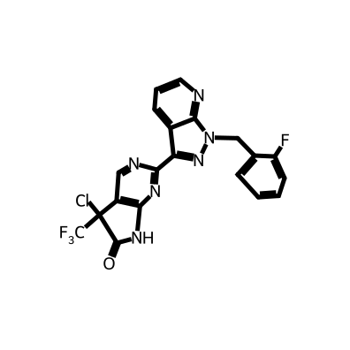 O=C1Nc2nc(-c3nn(Cc4ccccc4F)c4ncccc34)ncc2C1(Cl)C(F)(F)F